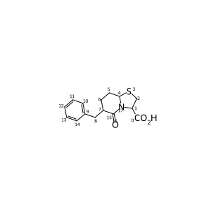 O=C(O)C1CSC2CCC(Cc3ccccc3)C(=O)N21